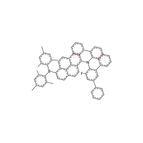 Cc1cc(C)c(B(c2c(C)cc(C)cc2C)c2ccc3ccc4c(N(c5ccccc5-c5ccccc5)c5c(F)cc(-c6ccccc6)cc5-c5ccccc5)ccc5ccc2c3c54)c(C)c1